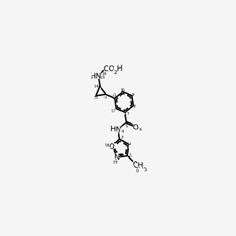 Cc1cc(NC(=O)c2cccc(C3CC3NC(=O)O)c2)on1